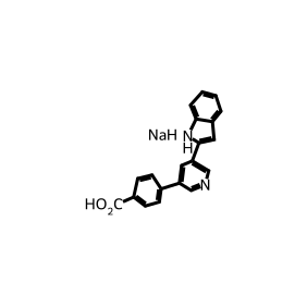 O=C(O)c1ccc(-c2cncc(-c3cc4ccccc4[nH]3)c2)cc1.[NaH]